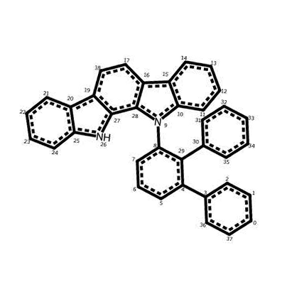 c1ccc(-c2cccc(-n3c4ccccc4c4ccc5c6ccccc6[nH]c5c43)c2-c2ccccc2)cc1